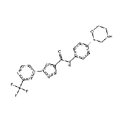 O=C(Nc1ccc([C@H]2CNCCO2)cc1)c1cnn(-c2ccnc(C(F)(F)F)c2)c1